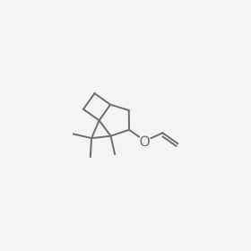 C=COC1CC2CCC23C(C)(C)C13C